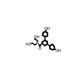 O=C(c1cc(-c2ccc(O)cc2)cc(-c2ccc(O)cc2)c1)N(CCO)CCO